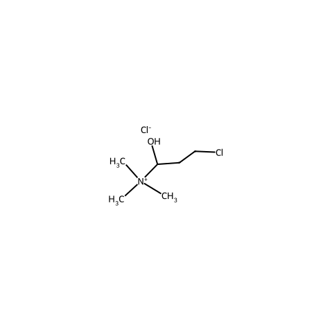 C[N+](C)(C)C(O)CCCl.[Cl-]